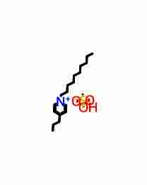 CCCCCCCCCC[n+]1ccc(CCC)cc1.CS(=O)(=O)O